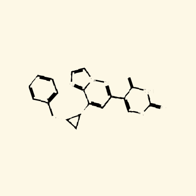 O=c1[nH]cc(-c2cc([C@H]3C[C@@H]3Cc3ccccc3)c3nccn3n2)c(=O)[nH]1